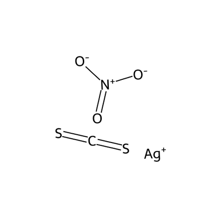 O=[N+]([O-])[O-].S=C=S.[Ag+]